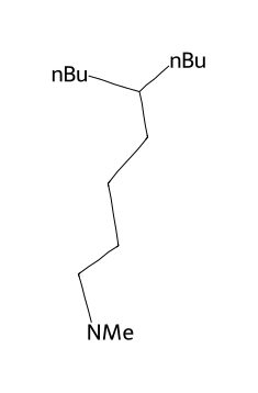 CCCCC(CCCC)CCCCNC